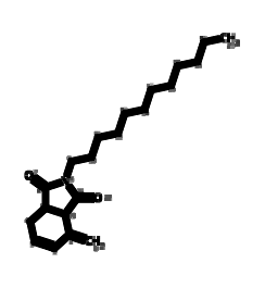 C=C1C=CCC2C(=O)N(CCCCCCCCCCCC)C(=O)C12